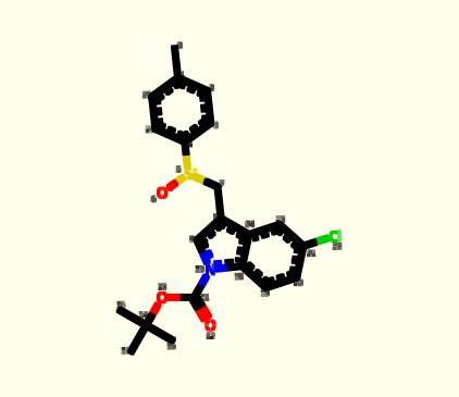 Cc1ccc([S+]([O-])Cc2cn(C(=O)OC(C)(C)C)c3ccc(Cl)cc23)cc1